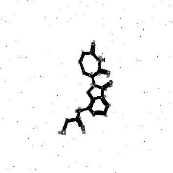 O=C1CCC[C@H](N2Cc3c(NC(=O)CCl)cccc3C2=O)C(=O)N1